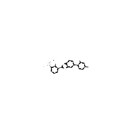 COc1c(-c2nc3cc(-c4ccc(F)cc4F)ccc3o2)cccc1[N+](=O)[O-]